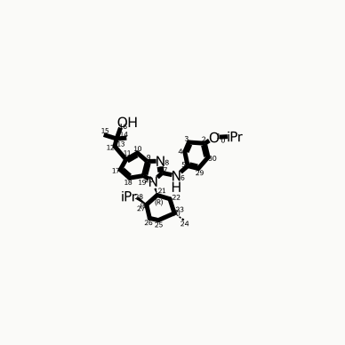 CC(C)Oc1ccc(Nc2nc3cc(CC(C)(C)O)ccc3n2[C@@H]2C[C@H](C)CC[C@H]2C(C)C)cc1